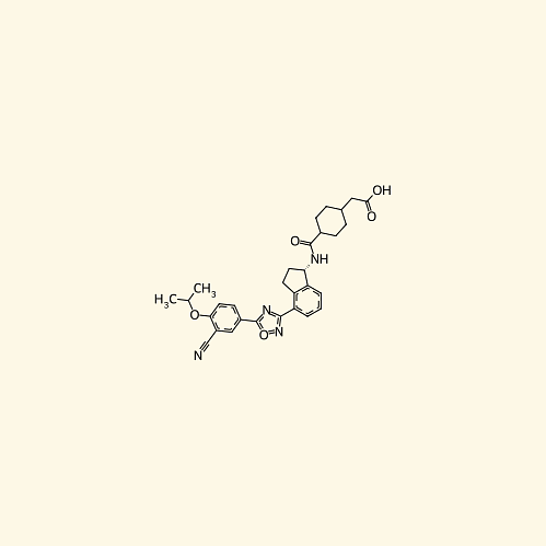 CC(C)Oc1ccc(-c2nc(-c3cccc4c3CC[C@@H]4NC(=O)C3CCC(CC(=O)O)CC3)no2)cc1C#N